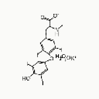 CNC(Cc1cc(I)c(Oc2cc(I)c(O)c(I)c2)c(I)c1)C(=O)[O-].O.O.[K+]